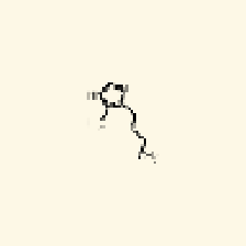 [CH2]CSCc1nc[nH]c1C